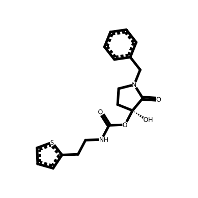 O=C(NCCc1cccs1)O[C@@]1(O)CCN(Cc2ccccc2)C1=O